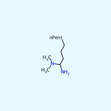 [CH2]CCCCCCCC(N)N(C)C